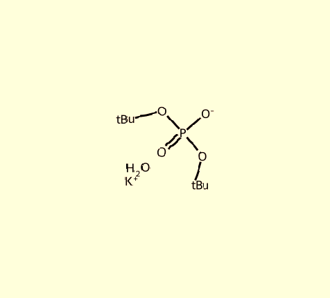 CC(C)(C)OP(=O)([O-])OC(C)(C)C.O.[K+]